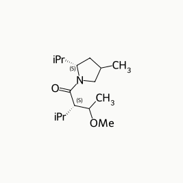 COC(C)[C@@H](C(=O)N1CC(C)C[C@H]1C(C)C)C(C)C